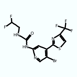 O=C(NCC(F)F)Nc1cc(-c2nc(C(F)(F)F)cs2)c(Br)cn1